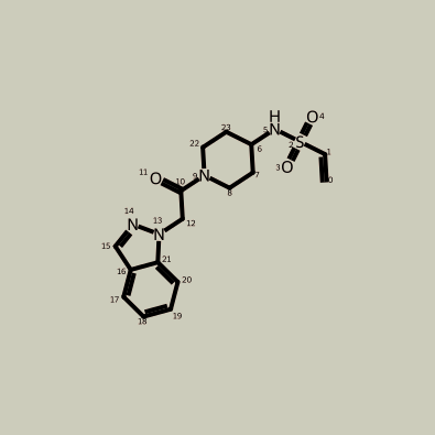 C=CS(=O)(=O)NC1CCN(C(=O)Cn2ncc3ccccc32)CC1